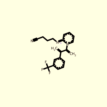 C=C(C(=C)n1cccc/c1=N\CCCC#N)c1cccc(C(F)(F)F)c1